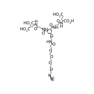 [N-]=[N+]=NCCOCCOCCOCCOCCC(=O)NCCOc1cc(C(=O)NCCC(=O)NC(CCC(=O)O)C(=O)O)cc(C(=O)NCCC(=O)NC(CCC(=O)O)C(=O)O)c1